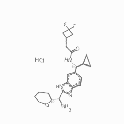 Cl.NC(c1nc2ccc([C@H](NC(=O)CC3CC(F)(F)C3)C3CC3)cc2[nH]1)[C@H]1CCCCO1